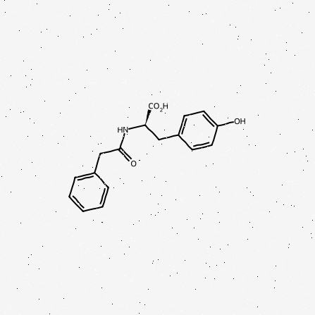 O=C(Cc1ccccc1)N[C@H](Cc1ccc(O)cc1)C(=O)O